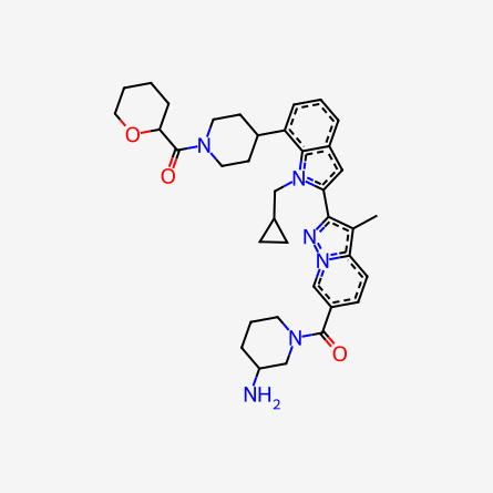 Cc1c(-c2cc3cccc(C4CCN(C(=O)C5CCCCO5)CC4)c3n2CC2CC2)nn2cc(C(=O)N3CCCC(N)C3)ccc12